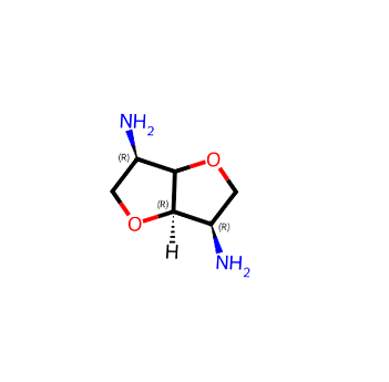 N[C@@H]1CO[C@H]2C1OC[C@H]2N